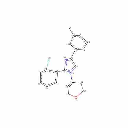 Cc1cccc(-c2cn(C3=CCOCC3)c(-c3ccccc3F)n2)c1